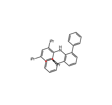 CC(C)c1cc(C(C)C)c(Nc2c(-c3ccccc3)cccc2-c2ccccc2)c(C(C)C)c1